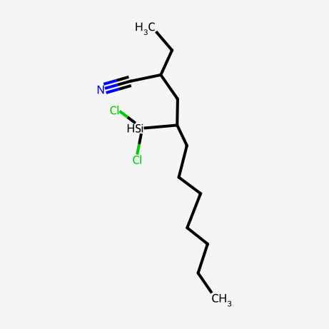 CCCCCCCC(CC(C#N)CC)[SiH](Cl)Cl